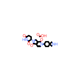 O=C1CC[C@H](N2Cc3c(ccn(C4CCC5(CC4)CNC5)c3=O)C2=O)C(=O)N1.O=CO